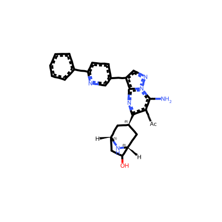 CC(=O)c1c([C@@H]2C[C@H]3CC(O)[C@@H](C2)N3)nc2c(-c3ccc(-c4ccccc4)nc3)cnn2c1N